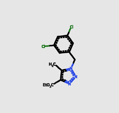 CCOC(=O)c1nnn(Cc2cc(Cl)cc(Cl)c2)c1C